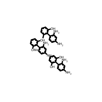 COc1cccc(O)c1-c1ccc(N)cc1N.Cc1cccc(O)c1-c1ccc(N)cc1N.Nc1ccc(-c2c(O)cccc2O)c(N)c1